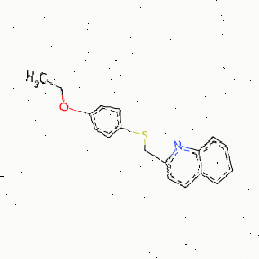 CCOc1ccc(SCc2ccc3ccccc3n2)cc1